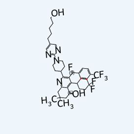 CC1(C)Cc2nc(C3CCN(c4ncc(CCCCCO)cn4)CC3)c([C@@H](F)c3ccc(C(F)(F)F)cc3)c(C3CCC(F)(F)CC3)c2[C@@H](O)C1